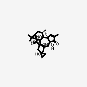 CC1=C[C@H]2[C@@]3(O)[C@H](C)C[C@]4(OC(=O)[C@@H](N)CC5CC5)[C@@H]([C@@H]3C=C(CO)C[C@]2(O)C1=O)C4(C)C